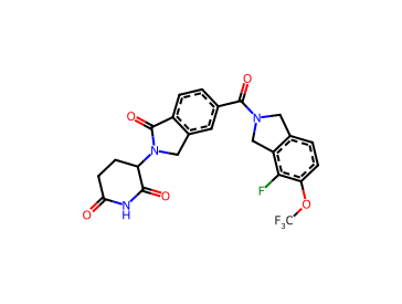 O=C1CCC(N2Cc3cc(C(=O)N4Cc5ccc(OC(F)(F)F)c(F)c5C4)ccc3C2=O)C(=O)N1